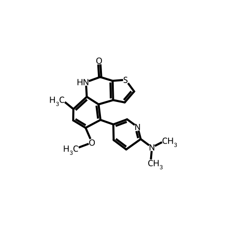 COc1cc(C)c2[nH]c(=O)c3sccc3c2c1-c1ccc(N(C)C)nc1